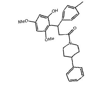 COc1cc(O)c(C(CC(=O)N2CCC(c3ccccc3)CC2)c2ccc(C)cc2)c(OC)c1